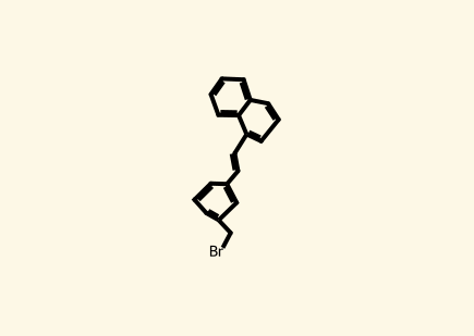 BrCc1cccc(/C=C/c2cccc3ccccc23)c1